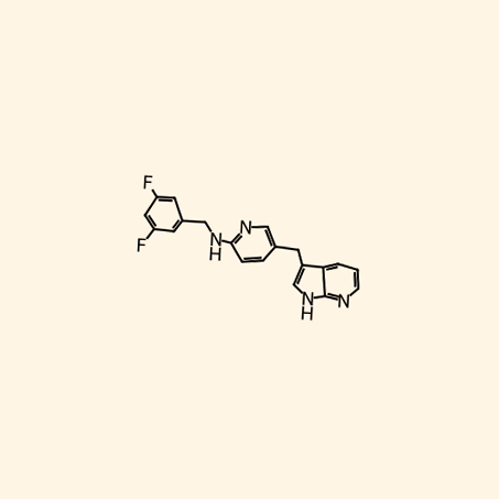 Fc1cc(F)cc(CNc2ccc(Cc3c[nH]c4ncccc34)cn2)c1